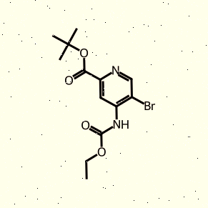 CCOC(=O)Nc1cc(C(=O)OC(C)(C)C)ncc1Br